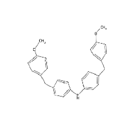 COc1ccc(Cc2ccc(Pc3ccc(Cc4ccc(OC)cc4)cc3)cc2)cc1